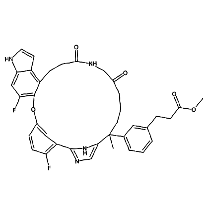 COC(=O)CCc1cccc(C2(C)CCCC(=O)CNC(=O)CCc3c(c(F)cc4[nH]ccc34)Oc3ccc(F)c(c3)-c3ncc2[nH]3)c1